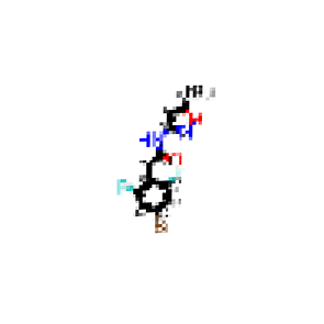 CC(C)(C)c1cc(NC(=O)Cc2c(F)cc(Br)cc2F)no1